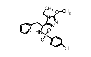 CCn1c(OC)nnc1C(Cc1ccccn1)NS(=O)(=O)c1ccc(Cl)cc1